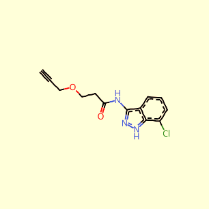 C#CCOCCC(=O)Nc1n[nH]c2c(Cl)cccc12